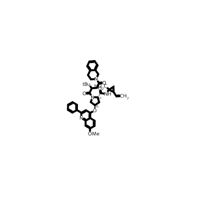 C=CC1CC1(NC(=O)[C@@H]1C[C@@H](Oc2cc(-c3ccccc3)nc3cc(OC)ccc23)CN1C(=O)C(CC(=O)N1CCc2ccccc2C1)C(C)(C)C)C(=O)O